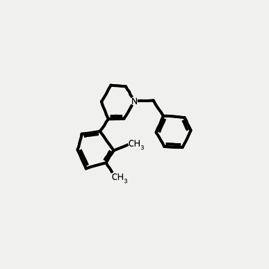 Cc1cccc(C2=CN(Cc3ccccc3)CCC2)c1C